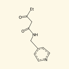 CCC(=O)CC(=O)NCc1ccncc1